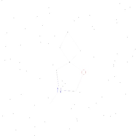 CN1COC2(CCC2)C1